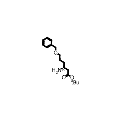 CC(C)(C)OC(=O)C[C@@H](N)CCCOCc1ccccc1